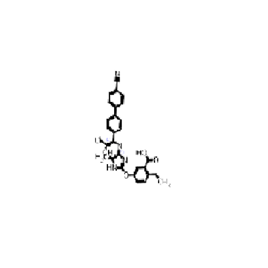 C=C1NC(Oc2ccc(CC)c(C(=O)O)c2)=N/C1=N/C(=C(\C)Cl)c1ccc(-c2ccc(C#N)cc2)cc1